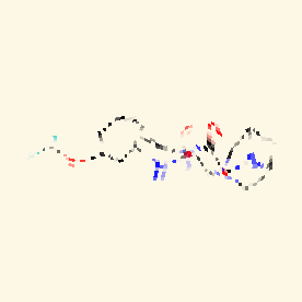 CC(C)(C)NC(=O)CN1C2CC1CN(CC(=O)NC1CCCC(OC(F)F)C1)C2